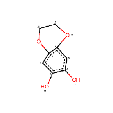 Oc1cc2c(cc1O)OCCO2